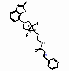 Cc1nc2cccc(N3C[C@@H]4[C@@H](CCNC(=O)/C=C/c5cccnc5)[C@@H]4C3)c2o1